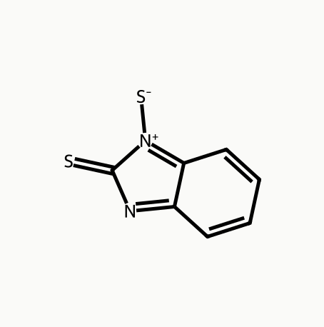 S=C1N=c2ccccc2=[N+]1[S-]